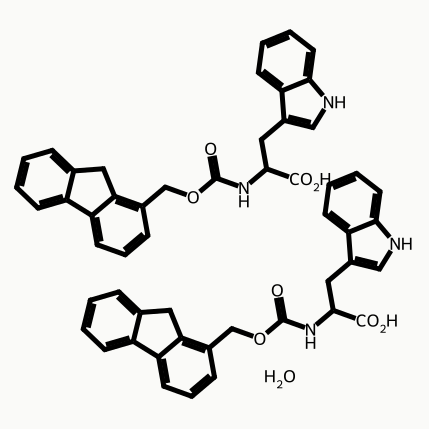 O.O=C(NC(Cc1c[nH]c2ccccc12)C(=O)O)OCc1cccc2c1Cc1ccccc1-2.O=C(NC(Cc1c[nH]c2ccccc12)C(=O)O)OCc1cccc2c1Cc1ccccc1-2